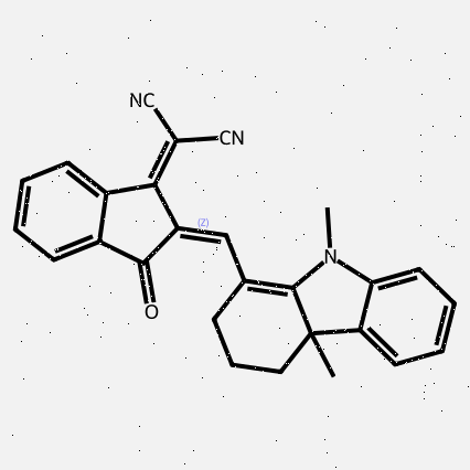 CN1C2=C(/C=C3\C(=O)c4ccccc4C3=C(C#N)C#N)CCCC2(C)c2ccccc21